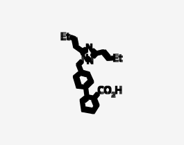 CCC=Cc1nc(C=CCC)n(Cc2ccc(-c3ccccc3C(=O)O)cc2)n1